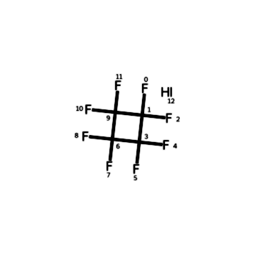 FC1(F)C(F)(F)C(F)(F)C1(F)F.I